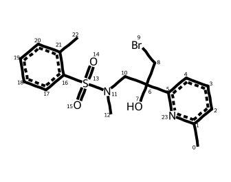 Cc1cccc(C(O)(CBr)CN(C)S(=O)(=O)c2ccccc2C)n1